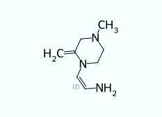 C=C1CN(C)CCN1/C=C\N